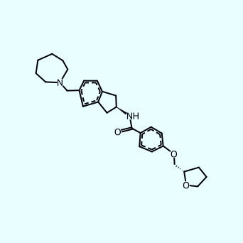 O=C(N[C@@H]1Cc2ccc(CN3CCCCCC3)cc2C1)c1ccc(OC[C@@H]2CCCO2)cc1